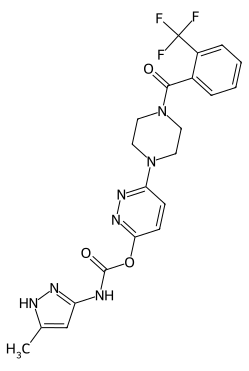 Cc1cc(NC(=O)Oc2ccc(N3CCN(C(=O)c4ccccc4C(F)(F)F)CC3)nn2)n[nH]1